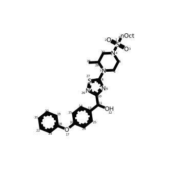 CCCCCCCCS(=O)(=O)N1CCN(c2nc(C(O)c3ccc(Oc4ccccc4)cc3)ns2)C(C)C1